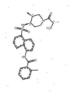 Cc1ccccc1C(=O)Nc1cccc2c(S(=O)(=O)N[C@@H]3CCN(C(=O)[C@H](C)N)C[C@@H]3C)cccc12